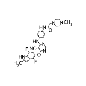 Cc1cc2c(F)c(Oc3ncnc(Nc4ccc(NC(=O)CN5CCN(C)CC5)cc4)c3C#N)cc(F)c2[nH]1